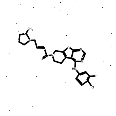 CC1CCCN1CC=CC(=O)N1CCc2c(sc3ncnc(Nc4ccc(Cl)c(Cl)c4)c23)C1